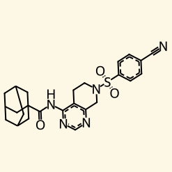 N#Cc1ccc(S(=O)(=O)N2CCc3c(ncnc3NC(=O)C34CC5CC(CC(C5)C3)C4)C2)cc1